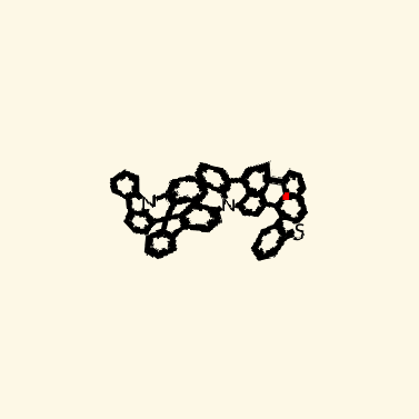 c1ccc(-c2ccc(-c3ccccc3N(c3ccc(-c4cccc5sc6ccccc6c45)cc3)c3ccc4c(c3)C3(c5ccccc5-4)c4ccccc4-n4c5ccccc5c5cccc3c54)cc2)cc1